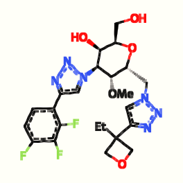 CCC1(c2cn(C[C@H]3O[C@H](CO)[C@H](O)[C@H](n4cc(-c5ccc(F)c(F)c5F)nn4)[C@H]3OC)nn2)COC1